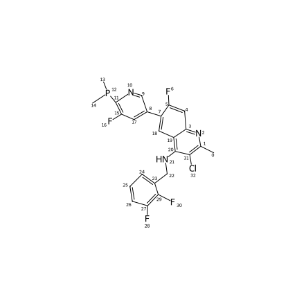 Cc1nc2cc(F)c(-c3cnc(P(C)C)c(F)c3)cc2c(NCc2cccc(F)c2F)c1Cl